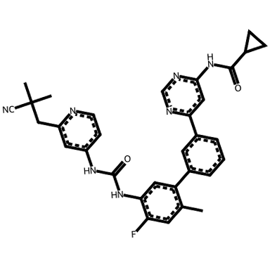 Cc1cc(F)c(NC(=O)Nc2ccnc(CC(C)(C)C#N)c2)cc1-c1cccc(-c2cc(NC(=O)C3CC3)ncn2)c1